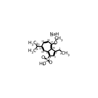 CCc1cc(S(=O)(=O)O)c2cc(C(C)C)ccc(OC)c1-2.[NaH]